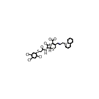 O=C(CSc1cc(Cl)c(Cl)cc1Cl)N[C@@H]1C(=O)N2C(C(=O)[O-])=C(/C=C/C[n+]3cccc4ccccc43)CS[C@H]12